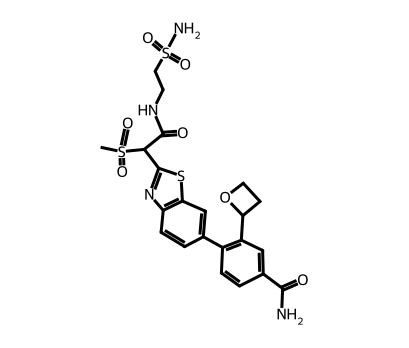 CS(=O)(=O)C(C(=O)NCCS(N)(=O)=O)c1nc2ccc(-c3ccc(C(N)=O)cc3C3CCO3)cc2s1